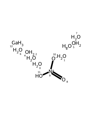 O.O.O.O.O.O.O.O.O=[N+]([O-])O.[GaH3]